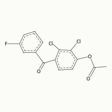 CC(=O)Oc1ccc(C(=O)c2cccc(F)c2)c(Cl)c1Cl